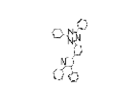 C1=CCC(C2=C(c3ccccc3)CC(C3C=CCC(c4nc(C5=CCCC=C5)nc(C5C=CC=CC5)n4)C3)C=N2)C=C1